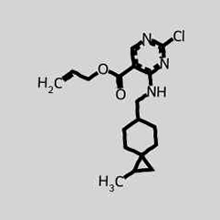 C=CCOC(=O)c1cnc(Cl)nc1NCC1CCC2(CC1)CC2C